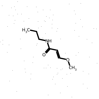 CCCNC(=O)C=COC